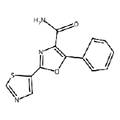 NC(=O)c1nc(-c2cncs2)oc1-c1ccccc1